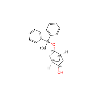 CC(C)(C)[Si](O[C@H]1C[C@H]2C[C@@H]1C[C@@H]2O)(c1ccccc1)c1ccccc1